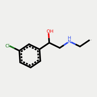 [CH2]CNCC(O)c1cccc(Cl)c1